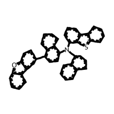 c1ccc2c(N(c3ccc(-c4ccc5oc6ccccc6c5c4)c4ccccc34)c3cccc4c3sc3ccccc34)cccc2c1